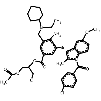 CCN(Cc1cc(C(=O)OC(CCl)COC(C)=O)cc(Br)c1N)C1CCCCC1.COc1ccc2c(c1)cc(C)n2C(=O)c1ccc(Cl)cc1